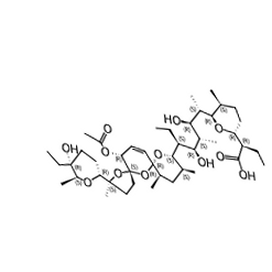 CC[C@@H]([C@H](O)[C@@H](C)[C@@H](O)[C@H](C)[C@@H]1O[C@@H]([C@@H](CC)C(=O)O)CC[C@@H]1C)[C@H]1O[C@]2(C=C[C@@H](OC(C)=O)[C@]3(CC[C@@](C)([C@H]4CC[C@](O)(CC)[C@H](C)O4)O3)O2)[C@H](C)C[C@@H]1C